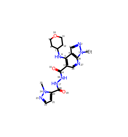 CCn1ncc2c(NC3CCOCC3)c(C(=O)NNC(=O)c3ccnn3C)cnc21